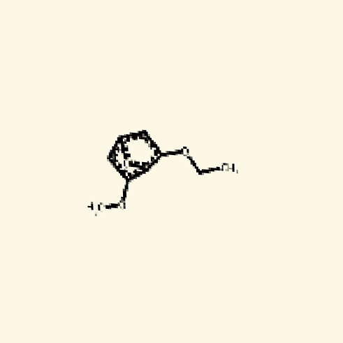 CCOc1cc2cc(OC)c1o2